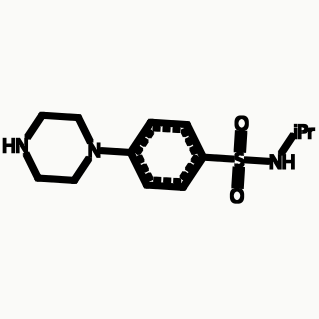 CC(C)NS(=O)(=O)c1ccc(N2CCNCC2)cc1